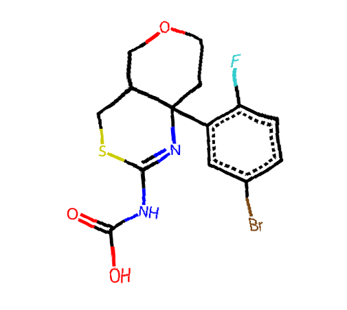 O=C(O)NC1=NC2(c3cc(Br)ccc3F)CCOCC2CS1